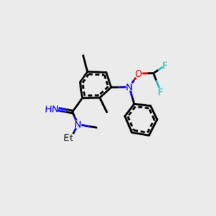 CCN(C)C(=N)c1cc(C)cc(N(OC(F)F)c2ccccc2)c1C